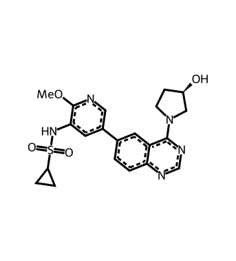 COc1ncc(-c2ccc3ncnc(N4CC[C@@H](O)C4)c3c2)cc1NS(=O)(=O)C1CC1